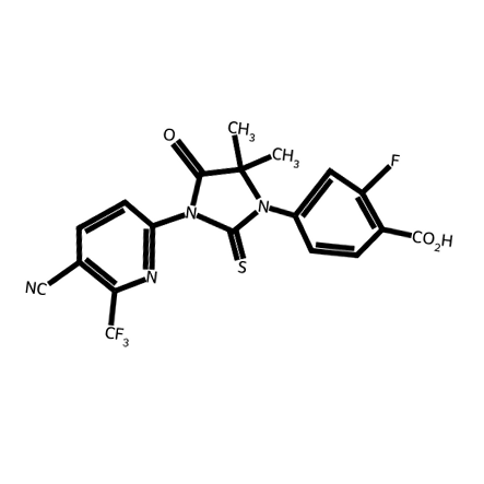 CC1(C)C(=O)N(c2ccc(C#N)c(C(F)(F)F)n2)C(=S)N1c1ccc(C(=O)O)c(F)c1